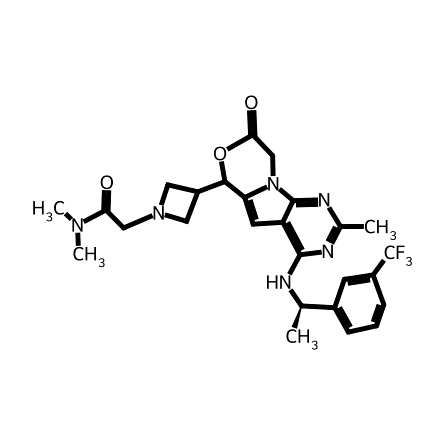 Cc1nc(N[C@H](C)c2cccc(C(F)(F)F)c2)c2cc3n(c2n1)CC(=O)OC3C1CN(CC(=O)N(C)C)C1